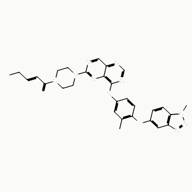 Cc1cc(Nc2ncnc3cnc(N4CCN(C(=O)/C=C/CCl)CC4)nc23)ccc1Oc1ccc2c(c1)nnn2C